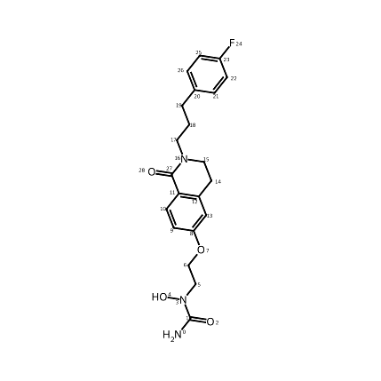 NC(=O)N(O)CCOc1ccc2c(c1)CCN(CCCc1ccc(F)cc1)C2=O